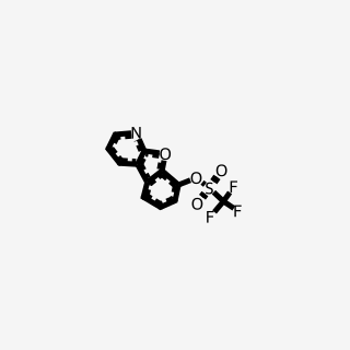 O=S(=O)(Oc1cccc2c1oc1ncccc12)C(F)(F)F